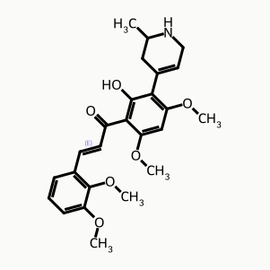 COc1cccc(/C=C/C(=O)c2c(OC)cc(OC)c(C3=CCNC(C)C3)c2O)c1OC